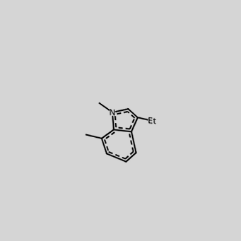 CCc1cn(C)c2c(C)cccc12